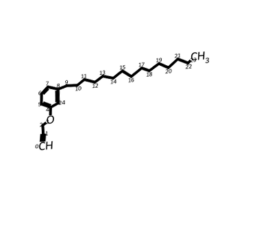 C#CCOc1cccc(CCCCCCCCCCCCCCC)c1